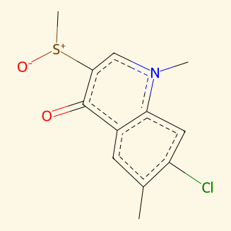 Cc1cc2c(=O)c([S+](C)[O-])cn(C)c2cc1Cl